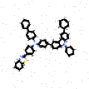 c1ccc(-c2ccc(N(c3ccc(-c4ccc5c(c4)c4cc(-c6ccccc6)ccc4n5-c4ccccc4)cc3)c3ccc(-c4nc5ccccc5s4)cc3)cc2)cc1